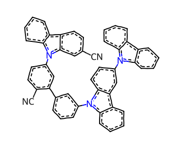 N#Cc1ccc2c3ccccc3n(-c3ccc(C#N)c(-c4cccc(-n5c6ccccc6c6cc(-n7c8ccccc8c8ccccc87)ccc65)c4)c3)c2c1